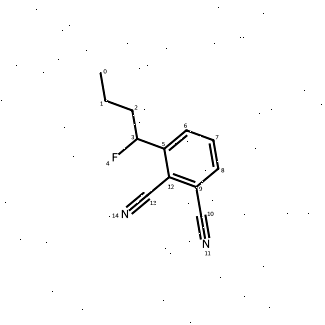 CCCC(F)c1cccc(C#N)c1C#N